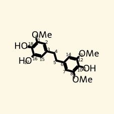 COc1cc(CCc2cc(OC)c(O)c(OC)c2)cc(O)c1O